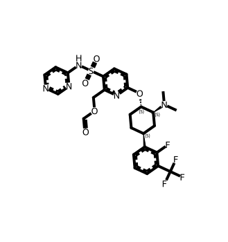 CN(C)[C@H]1C[C@@H](c2cccc(C(F)(F)F)c2F)CC[C@@H]1Oc1ccc(S(=O)(=O)Nc2ccncn2)c(COC=O)n1